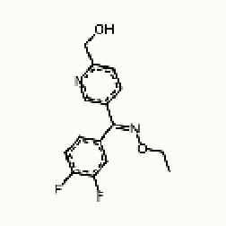 CCON=C(c1ccc(CO)nc1)c1ccc(F)c(F)c1